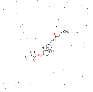 C=C(C)C(=O)OCC1CC2CC1[C@H]1CC(COC(=O)CCC)C[C@@H]21